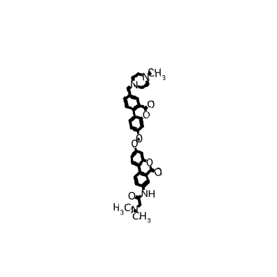 CN(C)CC(=O)Nc1ccc2c(c1)c(=O)oc1cc(OOc3ccc4c(c3)oc(=O)c3cc(CN5CCN(C)CC5)ccc34)ccc12